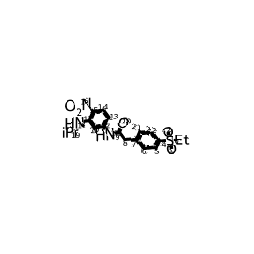 CCS(=O)(=O)c1ccc(CC(=O)Nc2ccc([N+](=O)[O-])c(NC(C)C)c2)cc1